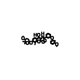 COc1cccc(Oc2cccc(C(=O)Nc3c(O)c4ccc(OC5CCC(OC)C(C)(C)O5)c(C)c4oc3=O)c2)c1